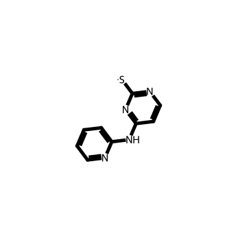 [S]c1nccc(Nc2ccccn2)n1